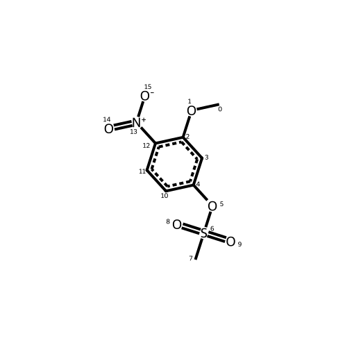 COc1cc(OS(C)(=O)=O)ccc1[N+](=O)[O-]